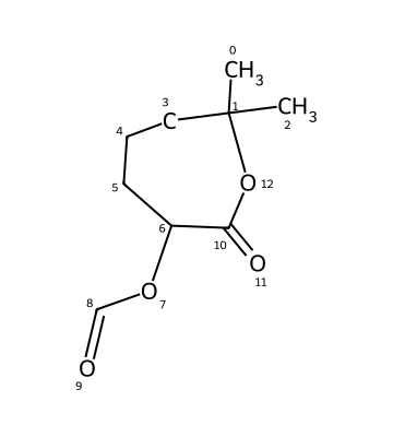 CC1(C)CCCC(OC=O)C(=O)O1